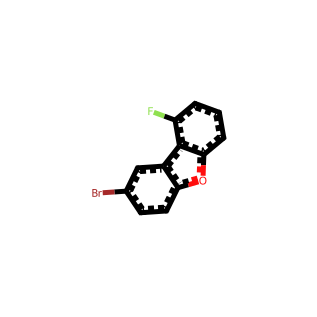 Fc1cccc2oc3ccc(Br)cc3c12